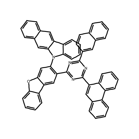 c1ccc2cc(-c3nc(-c4cc5c(cc4-n4c6ccccc6c6cc7ccccc7cc64)oc4ccccc45)nc(-c4cc5ccccc5c5ccccc45)n3)ccc2c1